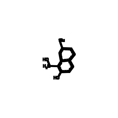 CC(C)(C)c1ccc2ccc(O)c([SiH2]O)c2c1